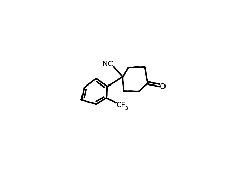 N#CC1(c2ccccc2C(F)(F)F)CCC(=O)CC1